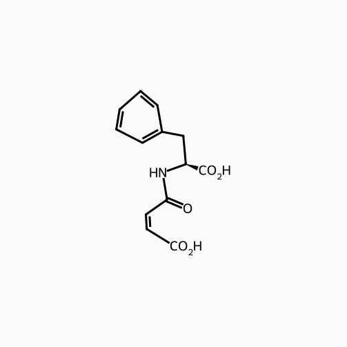 O=C(O)/C=C\C(=O)N[C@@H](Cc1ccccc1)C(=O)O